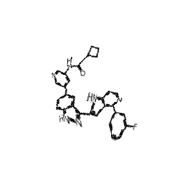 O=C(Nc1cncc(-c2ccc3[nH]nc(-c4cc5c(-c6cccc(F)c6)nccc5[nH]4)c3c2)c1)C1CCC1